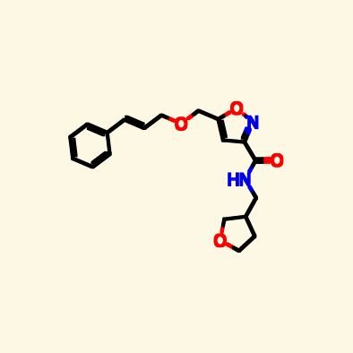 O=C(NCC1CCOC1)c1cc(COCC=Cc2ccccc2)on1